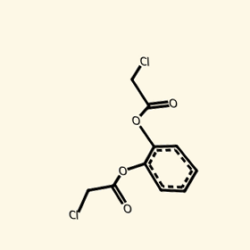 O=C(CCl)Oc1ccccc1OC(=O)CCl